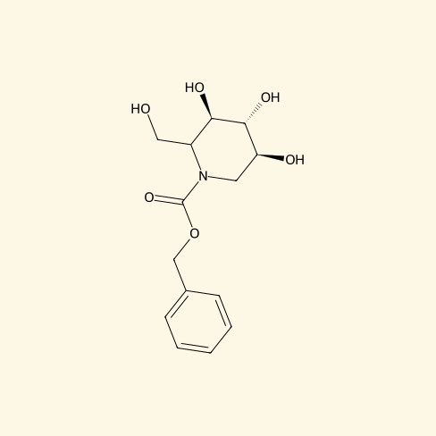 O=C(OCc1ccccc1)N1C[C@H](O)[C@@H](O)[C@H](O)C1CO